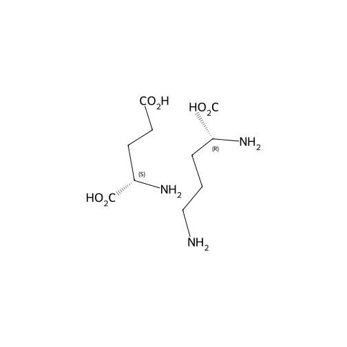 NCCC[C@@H](N)C(=O)O.N[C@@H](CCC(=O)O)C(=O)O